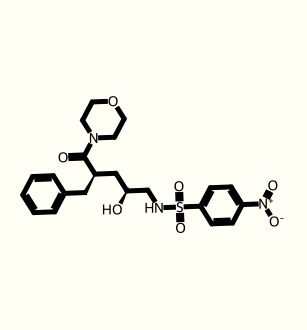 O=C([C@H](Cc1ccccc1)C[C@H](O)CNS(=O)(=O)c1ccc([N+](=O)[O-])cc1)N1CCOCC1